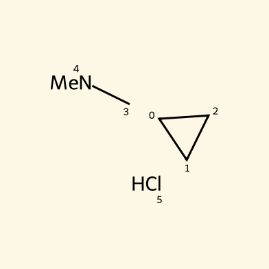 C1CC1.CNC.Cl